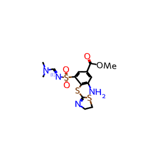 COC(=O)c1cc(N)c(SC2=NCCS2)c(S(=O)(=O)/N=C/N(C)C)c1